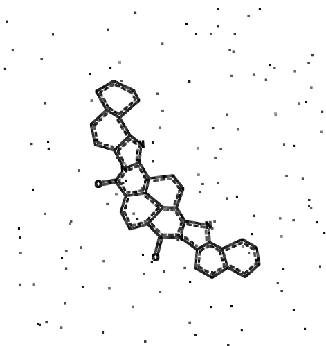 O=c1c2ccc3c(=O)n4c5ccc6ccccc6c5nc4c4ccc(c2c34)c2nc3c4ccccc4ccc3n12